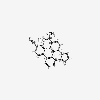 [C-]#[N+]c1ccc(-c2cccc3c2c2cc(N(C)C)ccc2n2ccnc32)cc1